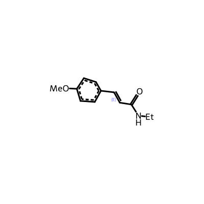 CCNC(=O)/C=C/c1ccc(OC)cc1